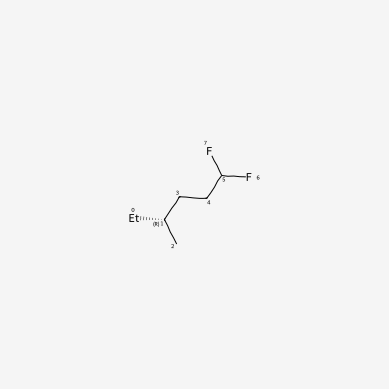 CC[C@@H](C)CCC(F)F